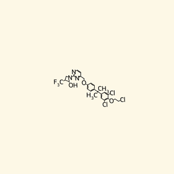 CC(C)(c1ccc(OCc2ccnc(N3CC(C(F)(F)F)C3O)n2)cc1)c1cc(Cl)c(OCCCl)c(Cl)c1